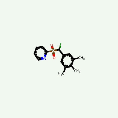 Cc1cc(C(F)S(=O)(=O)c2ccccn2)cc(C)c1C